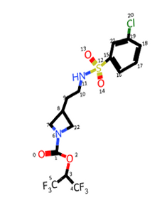 O=C(OC(C(F)(F)F)C(F)(F)F)N1CC(CCNS(=O)(=O)c2cccc(Cl)c2)C1